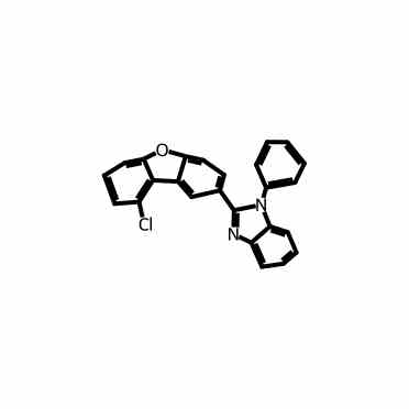 Clc1cccc2oc3ccc(-c4nc5ccccc5n4-c4ccccc4)cc3c12